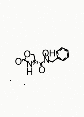 O=C1N[C@@H](C(=O)N(O)Cc2ccccc2)CO1